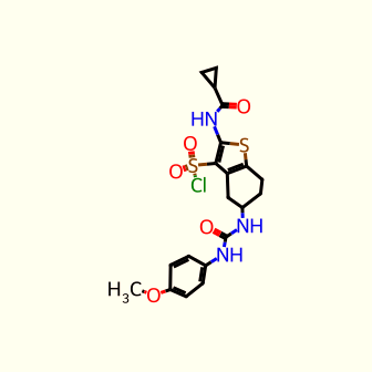 COc1ccc(NC(=O)NC2CCc3sc(NC(=O)C4CC4)c(S(=O)(=O)Cl)c3C2)cc1